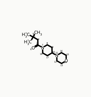 CC(C)(C)CC(=O)N1CCC(N2CCOCC2)CC1